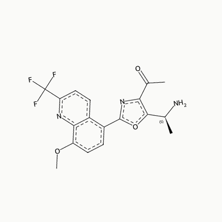 COc1ccc(-c2nc(C(C)=O)c([C@H](C)N)o2)c2ccc(C(F)(F)F)nc12